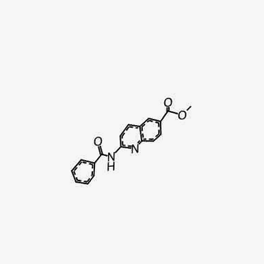 COC(=O)c1ccc2nc(NC(=O)c3ccccc3)ccc2c1